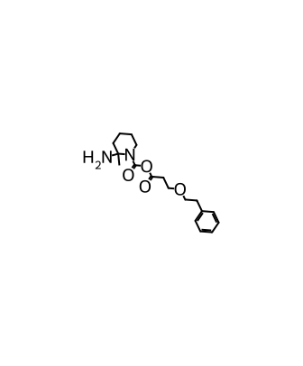 CC1(N)CCCCN1C(=O)OC(=O)CCOCCc1ccccc1